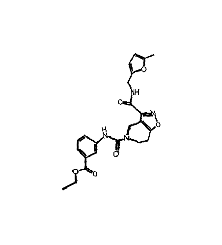 CCOC(=O)c1cccc(NC(=O)N2CCc3onc(C(=O)NCc4ccc(C)o4)c3C2)c1